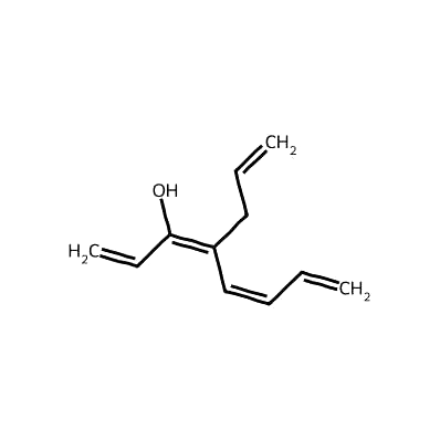 C=C/C=C\C(CC=C)=C(\O)C=C